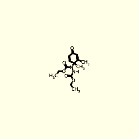 CCOC(=O)NN(C(=O)OCC)C1(C)C=CC(=O)C=C1C